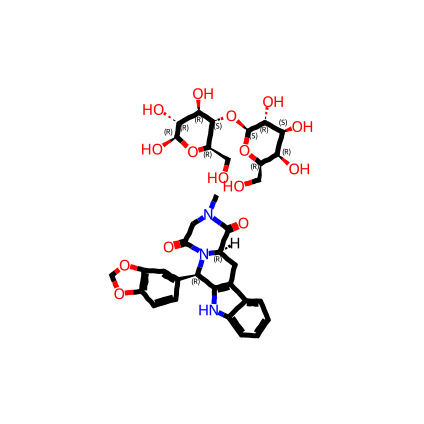 CN1CC(=O)N2[C@H](c3ccc4c(c3)OCO4)c3[nH]c4ccccc4c3C[C@@H]2C1=O.OC[C@H]1O[C@@H](O[C@H]2[C@H](O)[C@@H](O)[C@H](O)O[C@@H]2CO)[C@H](O)[C@@H](O)[C@H]1O